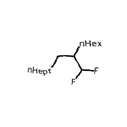 CCCCCCCCC(CCCCCC)[C](F)F